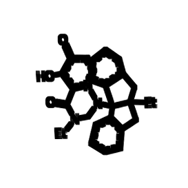 CCN1CN(C23c4ccccc4CC2(CC)Cc2ccccc23)n2ccc(=O)c(O)c2C1=O